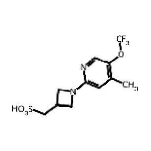 Cc1cc(N2CC(CS(=O)(=O)O)C2)ncc1OC(F)(F)F